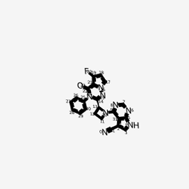 N#Cc1c[nH]c2ncnc(N3CC[C@H]3c3nn4ccc(F)c4c(=O)n3-c3ccccc3)c12